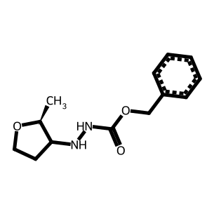 C[C@@H]1OCCC1NNC(=O)OCc1ccccc1